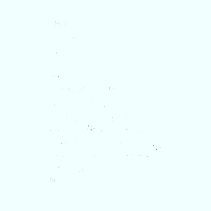 O=c1c(Cc2cccnc2)cn2c3c(cc(OCCCO)cc13)Sc1cc(Br)ccc1-2